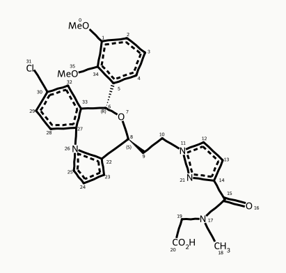 COc1cccc([C@@H]2O[C@@H](CCn3ccc(C(=O)N(C)CC(=O)O)n3)c3cccn3-c3ccc(Cl)cc32)c1OC